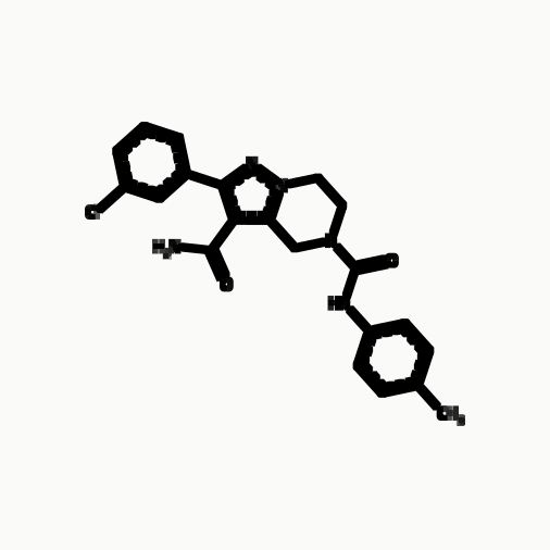 Cc1ccc(NC(=O)N2CCn3nc(-c4cccc(Cl)c4)c(C(N)=O)c3C2)cc1